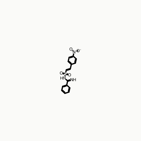 N=C(NS(=O)(=O)C=Cc1ccc([N+](=O)[O-])cc1)c1ccccc1